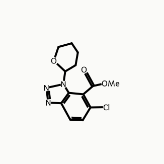 COC(=O)c1c(Cl)ccc2nnn(C3CCCCO3)c12